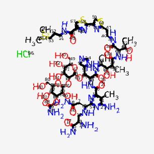 Cc1c(N)nc([C@H](CC(N)=O)NC[C@H](N)C(N)=O)nc1C(=O)N[C@H](C(=O)N[C@H](C)[C@@H](O)[C@H](C)C(=O)N[C@H](C(=O)NCCc1nc(-c2nc(C(=O)NCCC[S+](C)C)cs2)cs1)[C@@H](C)O)[C@@H](O[C@@H]1O[C@@H](CO)[C@@H](O)[C@H](O)[C@@H]1O[C@H]1O[C@H](CO)[C@@H](O)[C@H](OC(N)=O)[C@@H]1O)c1cnc[nH]1.Cl